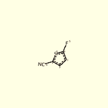 N#Cc1ccc(F)s1